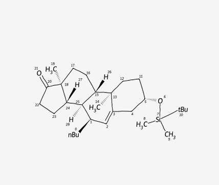 CCCC[C@@H]1C=C2C[C@@H](O[Si](C)(C)C(C)(C)C)CC[C@]2(C)[C@H]2CC[C@]3(C)C(=O)CC[C@H]3[C@H]12